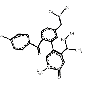 CC(NS)c1cc(=O)n(C)cc1-c1cc(C[S+]([O-])C(C)C)ccc1C(=O)c1ccc(F)cc1